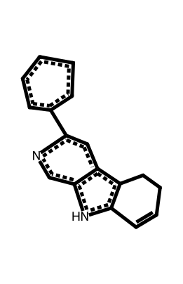 C1=Cc2[nH]c3cnc(-c4ccccc4)cc3c2CC1